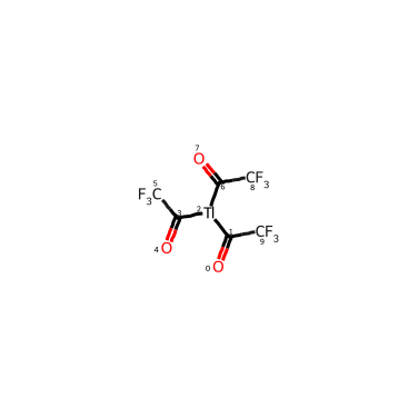 O=[C]([Tl]([C](=O)C(F)(F)F)[C](=O)C(F)(F)F)C(F)(F)F